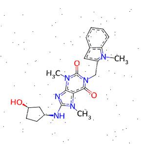 Cn1c(Cn2c(=O)c3c(nc(N[C@H]4CC[C@@H](O)C4)n3C)n(C)c2=O)cc2ccccc21